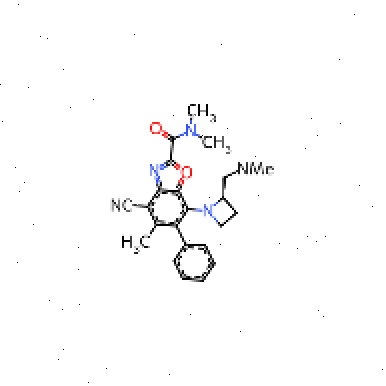 CNC[C@H]1CCN1c1c(-c2ccccc2)c(C)c(C#N)c2nc(C(=O)N(C)C)oc12